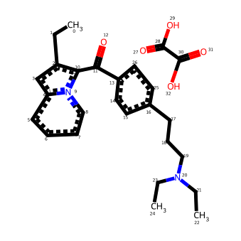 CCc1cc2ccccn2c1C(=O)c1ccc(CCCN(CC)CC)cc1.O=C(O)C(=O)O